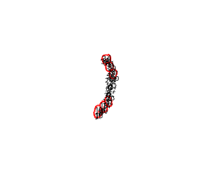 Cc1cc(-c2ccc(-c3ccc(OCCOCC4CO4)cc3)cc2)ccc1OCCOCC1CO1